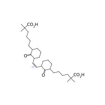 CC(C)(CCCCC1CCCC(/C=C\C2CCCC(CCCCC(C)(C)C(=O)O)C2=O)C1=O)C(=O)O